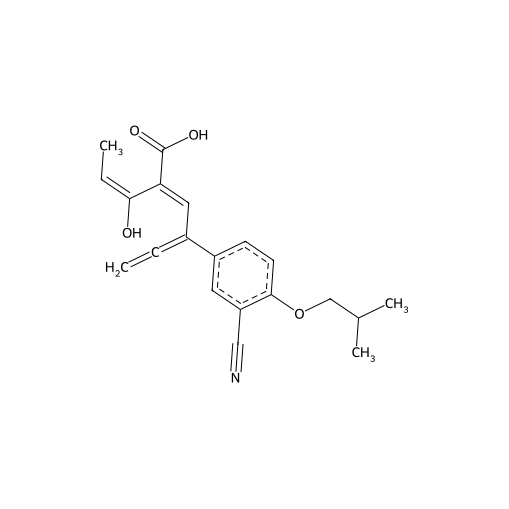 C=C=C(/C=C(C(=O)O)\C(O)=C/C)c1ccc(OCC(C)C)c(C#N)c1